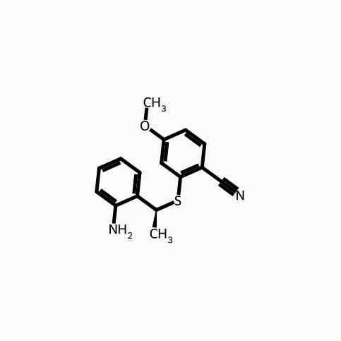 COc1ccc(C#N)c(S[C@@H](C)c2ccccc2N)c1